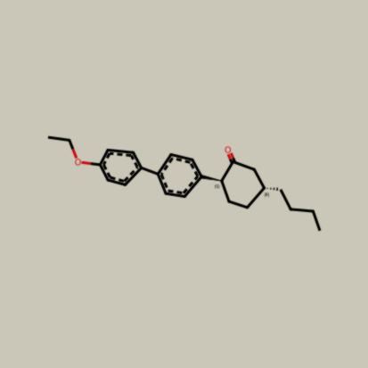 CCCC[C@@H]1CC[C@@H](c2ccc(-c3ccc(OCC)cc3)cc2)C(=O)C1